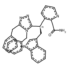 NC(=O)c1ncccc1[C@@H](Cc1c[nH]c2ccccc12)c1nnc(Cc2ccccc2)n1Cc1ccncc1